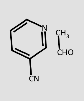 CC=O.N#Cc1cccnc1